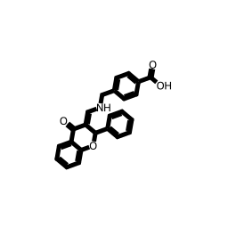 O=C(O)c1ccc(CNC=C2C(=O)c3ccccc3OC2c2ccccc2)cc1